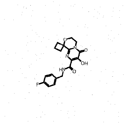 O=C(NCc1ccc(F)cc1)c1nc2n(c(=O)c1O)CCOC21CCC1